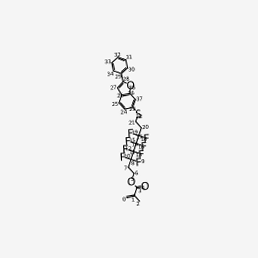 C=C(C)C(=O)OCCC(F)(F)C(F)(F)C(F)(F)C(F)(F)CCSc1ccc2cc(-c3ccccc3)oc2c1